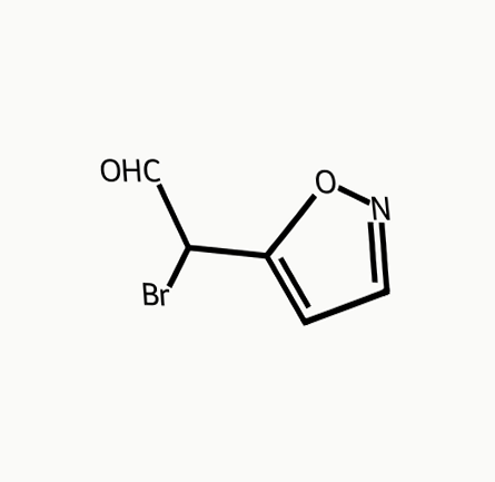 O=CC(Br)c1ccno1